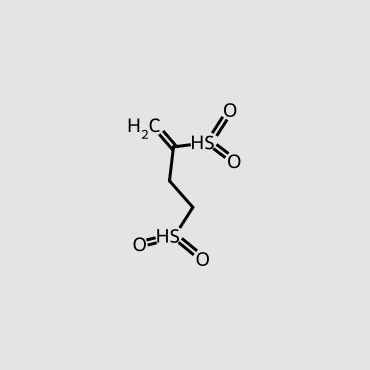 C=C(CC[SH](=O)=O)[SH](=O)=O